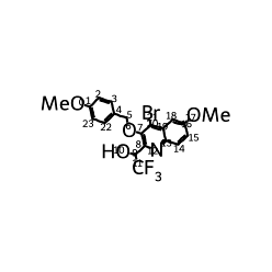 COc1ccc(COc2c(C(O)C(F)(F)F)nc3ccc(OC)cc3c2Br)cc1